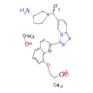 C[C@@H](O)COc1cccc2ccc(-c3nnc4ccc([C@@H](N5CC[C@H](N)C5)C(F)(F)F)cn34)nc12.O=CO